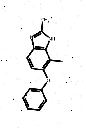 Cc1nc2ccc(Oc3ccccc3)c(F)c2[nH]1